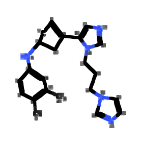 N#Cc1ccc(NC2CC=C(c3cncn3CCCn3ccnc3)C2)cc1C(F)(F)F